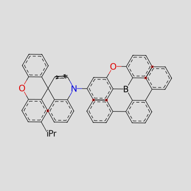 CC(C)c1ccc2c(c1)C1(c3ccccc3O2)c2ccccc2N(c2ccc3c(c2)Oc2ccccc2B3c2c(-c3ccccc3)cccc2-c2ccccc2)c2ccccc21